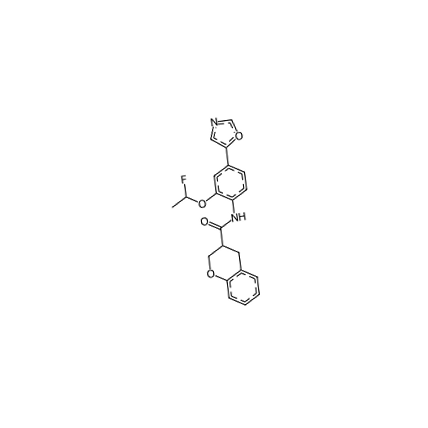 CC(F)Oc1cc(-c2cnco2)ccc1NC(=O)C1COc2ccccc2C1